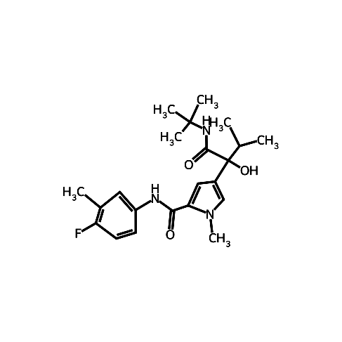 Cc1cc(NC(=O)c2cc(C(O)(C(=O)NC(C)(C)C)C(C)C)cn2C)ccc1F